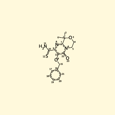 CC1(C)OCCn2c1nc(C(N)=S)c(OCc1ccccc1)c2=O